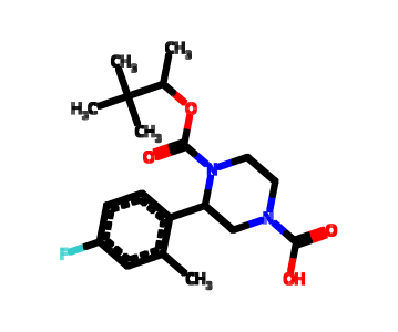 Cc1cc(F)ccc1C1CN(C(=O)O)CCN1C(=O)OC(C)C(C)(C)C